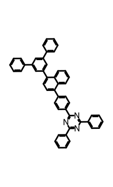 c1ccc(-c2cc(-c3ccccc3)cc(-c3ccc(-c4ccc(-c5nc(-c6ccccc6)nc(-c6ccccc6)n5)cc4)c4ccccc34)c2)cc1